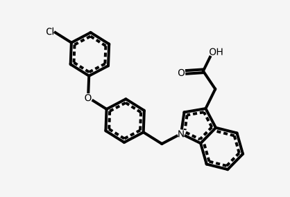 O=C(O)Cc1cn(Cc2ccc(Oc3cccc(Cl)c3)cc2)c2ccccc12